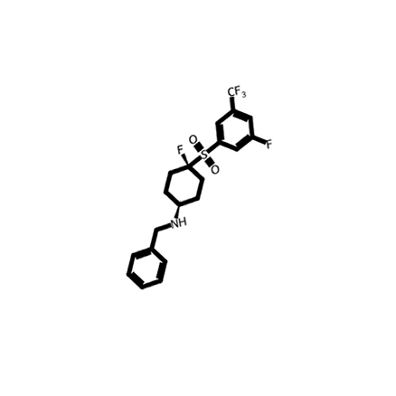 O=S(=O)(c1cc(F)cc(C(F)(F)F)c1)[C@]1(F)CC[C@@H](NCc2ccccc2)CC1